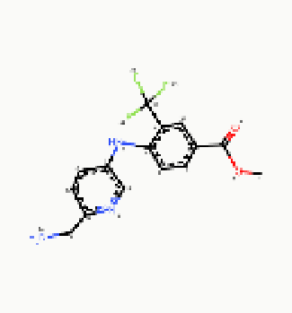 COC(=O)c1ccc(Nc2ccc(CN)nc2)c(C(F)(F)F)c1